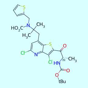 C[C@H](NC(=O)OC(C)(C)C)C(=O)c1sc2c(CC(C)(C)N(Cc3cccs3)C(=O)O)cc(Cl)nc2c1Cl